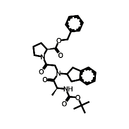 C[C@H](NC(=O)OC(C)(C)C)C(=O)N(CC(=O)N1CCC[C@H]1C(=O)OCc1ccccc1)C1Cc2ccccc2C1